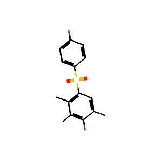 Cc1c(S(=O)(=O)c2ccc(Cl)cc2)cc(C(C)C)c(O)c1C(=O)O